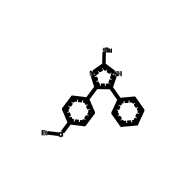 CCOc1ccc(-c2nc(C(C)(C)C)[nH]c2-c2ccccc2)cc1